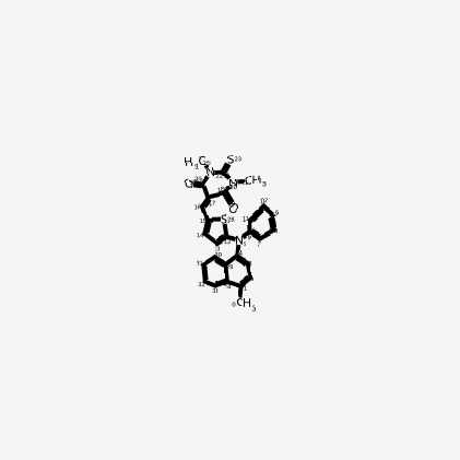 Cc1ccc(N(c2ccccc2)c2ccc(C=C3C(=O)N(C)C(=S)N(C)C3=O)s2)c2ccccc12